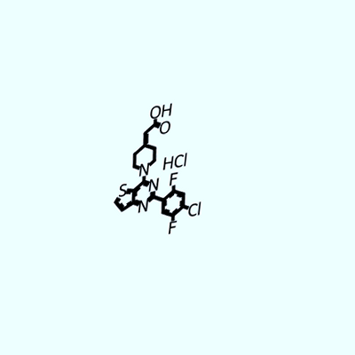 Cl.O=C(O)C=C1CCN(c2nc(-c3cc(F)c(Cl)cc3F)nc3ccsc23)CC1